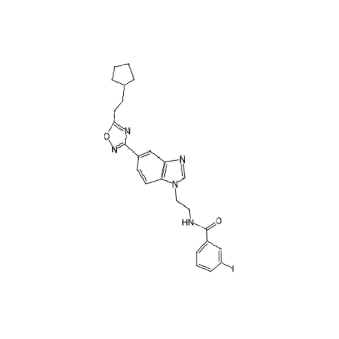 O=C(NCCn1cnc2cc(-c3noc(CCC4CCCC4)n3)ccc21)c1cccc(I)c1